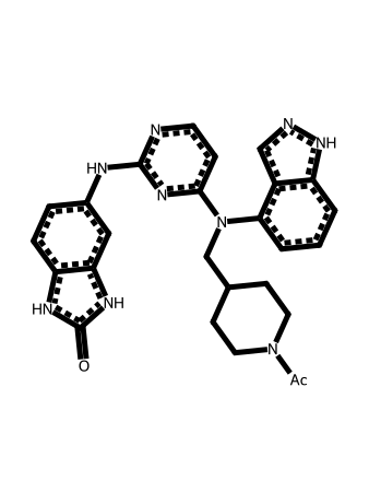 CC(=O)N1CCC(CN(c2ccnc(Nc3ccc4[nH]c(=O)[nH]c4c3)n2)c2cccc3[nH]ncc23)CC1